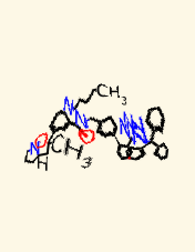 CCCCc1nc2ccc([C@]3(C)C[C@H]4CCCN4O3)cc2c(=O)n1Cc1ccc(-c2ccccc2-c2nnnn2C(c2ccccc2)(c2ccccc2)c2ccccc2)cc1